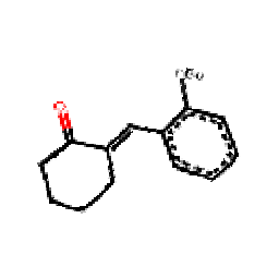 CCCCc1ccccc1/C=C1\CCCCC1=O